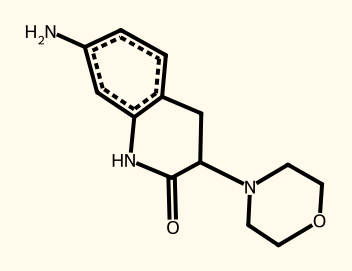 Nc1ccc2c(c1)NC(=O)C(N1CCOCC1)C2